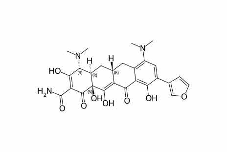 CN(C)c1cc(-c2ccoc2)c(O)c2c1C[C@H]1C[C@@H]3[C@@H](N(C)C)C(O)=C(C(N)=O)C(=O)[C@@]3(O)C(O)=C1C2=O